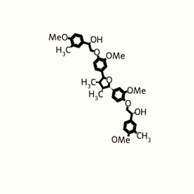 COc1ccc([C@@H](O)COc2ccc(C3O[C@H](c4ccc(OC[C@H](O)c5ccc(OC)c(C)c5)c(OC)c4)[C@H](C)[C@H]3C)cc2OC)cc1C